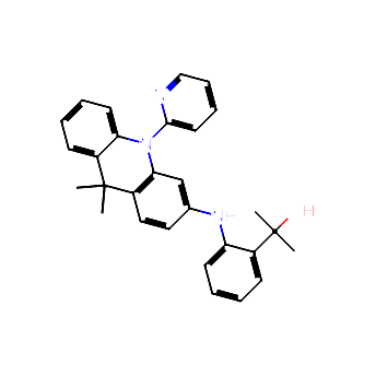 CC(C)(O)c1ccccc1Nc1ccc2c(c1)N(c1ccccn1)c1ccccc1C2(C)C